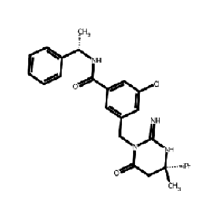 CC(C)[C@]1(C)CC(=O)N(Cc2cc(Cl)cc(C(=O)N[C@@H](C)c3ccccc3)c2)C(=N)N1